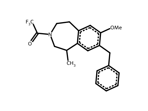 COc1cc2c(cc1Cc1ccccc1)C(C)CN(C(=O)C(F)(F)F)CC2